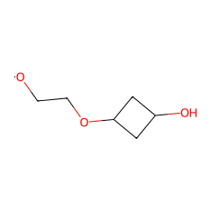 [O]CCOC1CC(O)C1